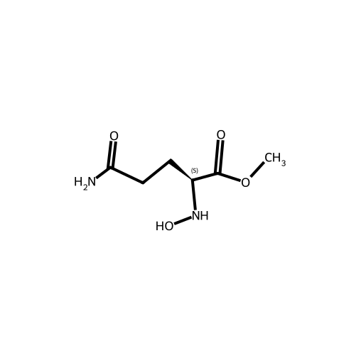 COC(=O)[C@H](CCC(N)=O)NO